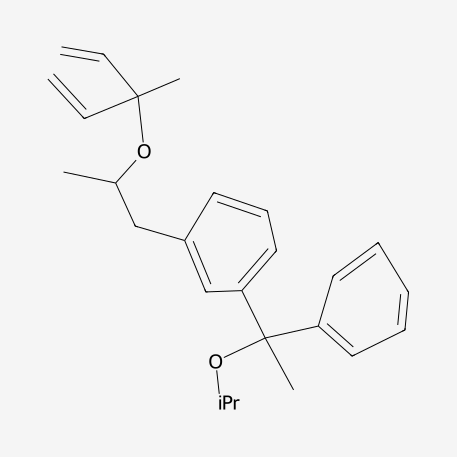 C=CC(C)(C=C)OC(C)Cc1cccc(C(C)(OC(C)C)c2ccccc2)c1